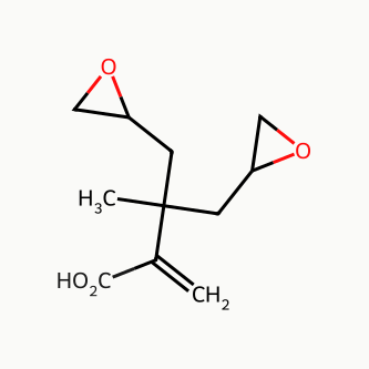 C=C(C(=O)O)C(C)(CC1CO1)CC1CO1